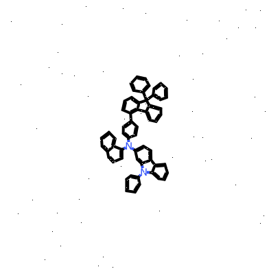 c1ccc(-n2c3ccccc3c3ccc(N(c4ccc(-c5cccc6c5-c5ccccc5C6(c5ccccc5)c5ccccc5)cc4)c4cccc5ccccc45)cc32)cc1